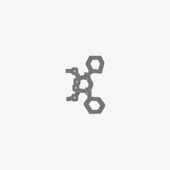 COC(=O)N(CN(C(=O)OC)C1CCCCC1)C1CCCCC1